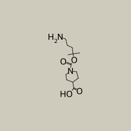 CC(C)(CCCN)OC(=O)N1CCC(C(=O)O)CC1